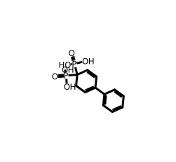 O=P(O)(O)C1(P(=O)(O)O)C=CC(c2ccccc2)=CC1